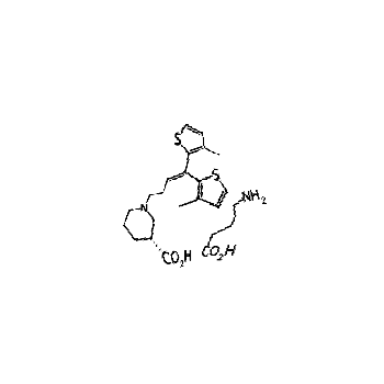 Cc1ccsc1C(=CCCN1CCC[C@@H](C(=O)O)C1)c1sccc1C.NCCCC(=O)O